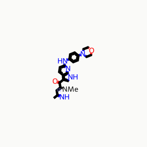 CN/C(=C\C(C)=N)C(=O)c1c[nH]c2nc(Nc3ccc(N4CCOCC4)cc3)ccc12